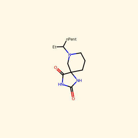 CCCCCC(CC)N1CCCC2(C1)NC(=O)NC2=O